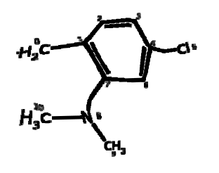 [CH2]c1ccc(Cl)cc1N(C)C